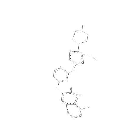 COc1cc(Nc2nccc(Nc3cc4cccc(F)c4[nH]c3=O)n2)cnc1N1CCN(C)CC1